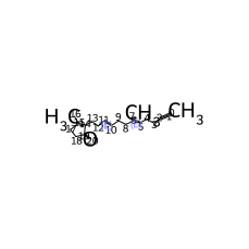 CC#CCC/C=C(\C)CC/C=C/CCC1=C(C)CCC1=O